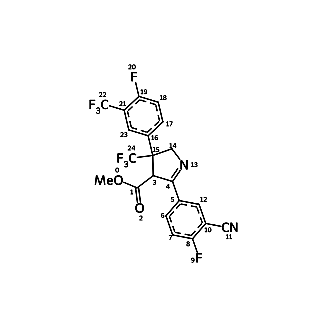 COC(=O)C1C(c2ccc(F)c(C#N)c2)=NCC1(c1ccc(F)c(C(F)(F)F)c1)C(F)(F)F